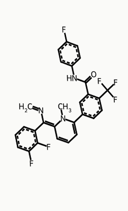 C=N/C(=C1/C=CC=C(c2ccc(C(F)(F)F)c(C(=O)Nc3ccc(F)cc3)c2)N1C)c1cccc(F)c1F